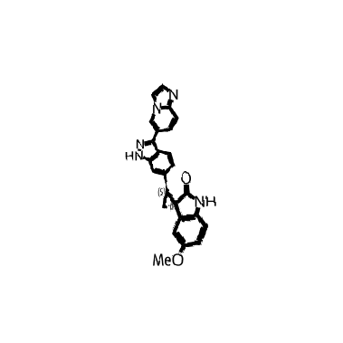 COc1ccc2c(c1)[C@]1(C[C@H]1c1ccc3c(-c4ccc5nccn5c4)n[nH]c3c1)C(=O)N2